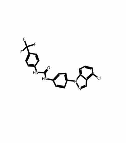 O=C(Nc1ccc(-n2ncc3c(Cl)cccc32)cc1)Nc1ccc(C(F)(F)F)cc1